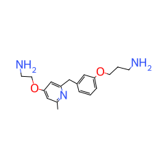 Cc1cc(OCCN)cc(Cc2cccc(OCCCN)c2)n1